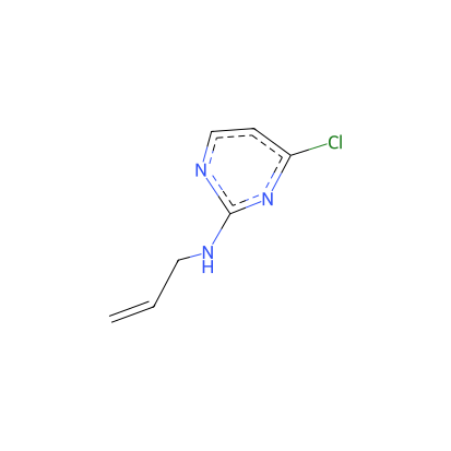 C=CCNc1nccc(Cl)n1